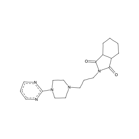 O=C1C2CCCCC2C(=O)N1CCCN1CCN(c2ncccn2)CC1